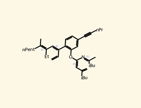 C=C/C(=C\C(CC)=C(/C)CCCCC)c1ccc(C#CCCC)cc1OC(=C/C(=C)C(C)CC)/N=C(/C)C(C)CC